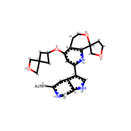 CC(=O)Nc1cc2c(-c3cc(OC4CC5(COC5)C4)c4c(n3)C3(CCOC3)OCC4)c[nH]c2cn1